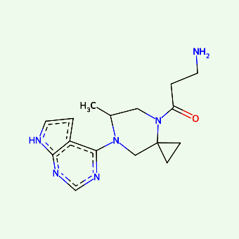 CC1CN(C(=O)CCN)C2(CC2)CN1c1ncnc2[nH]ccc12